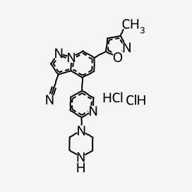 Cc1cc(-c2cc(-c3ccc(N4CCNCC4)nc3)c3c(C#N)cnn3c2)on1.Cl.Cl